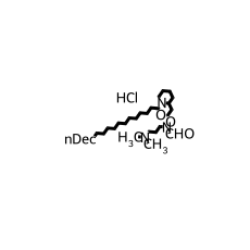 CCCCCCCCCCCCCCCCCCCCCC(=O)N1CCCCC1CCON(C=O)CCCN(C)C.Cl